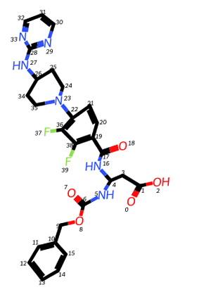 O=C(O)CC(NC(=O)OCc1ccccc1)NC(=O)c1ccc(N2CCC(Nc3ncccn3)CC2)c(F)c1F